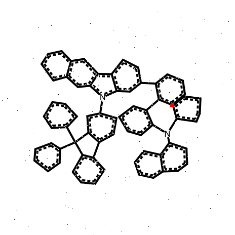 c1ccc(N(c2ccccc2-c2ccccc2-c2ccc3c4cc5ccccc5cc4n(-c4ccc5c(c4)C(c4ccccc4)(c4ccccc4)c4ccccc4-5)c3c2)c2cccc3ccccc23)cc1